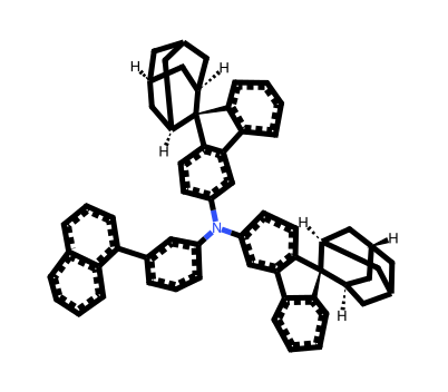 c1cc(-c2cccc3ccccc23)cc(N(c2ccc3c(c2)-c2ccccc2[C@]32[C@@H]3CC4C[C@@H](C3)C[C@H]2C4)c2ccc3c(c2)-c2ccccc2[C@]32[C@@H]3CC4C[C@H](C3)C[C@H]2C4)c1